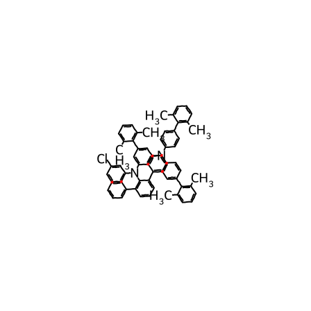 Cc1cccc(C)c1-c1ccc(N(c2ccc(-c3c(C)cccc3C)cc2)c2cc(-c3c(C)cccc3C)cc(N(c3cccc(Cl)c3)c3c(-c4ccccc4)cccc3-c3ccccc3)c2)cc1